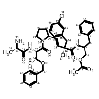 CC(=O)OC[C@H](Cc1ccccc1)NC(=O)[C@@](C)(/C=C/[C@@H]1CCCN1C(=O)[C@@H](NC(=O)[C@H](C)N)[C@@H](C)OCc1ccccc1)Cc1cccc(Cl)c1